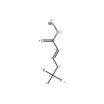 CC(F)(F)C/C=C/C(=O)OC(C)(C)C